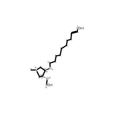 CCCCCCCCC=CCCCCCCCCO[C@@H]1CN(C)C[C@H]1OCCCCCCCC